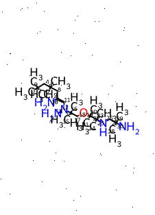 CC(C)(C)CC(C)(C)C/C(N)=C/N(N)C(C)(C)COC(C)(C)C(C)(C)NCC(C)(C)N